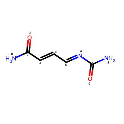 NC(=O)C=CC=NC(N)=O